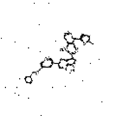 Cc1ccc(-c2nccc3[nH]c(-c4n[nH]c5ncc(-c6cncc(OCc7ccccc7)c6)cc45)nc23)s1